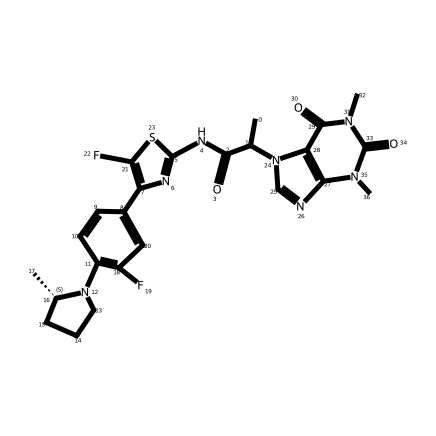 CC(C(=O)Nc1nc(-c2ccc(N3CCC[C@@H]3C)c(F)c2)c(F)s1)n1cnc2c1c(=O)n(C)c(=O)n2C